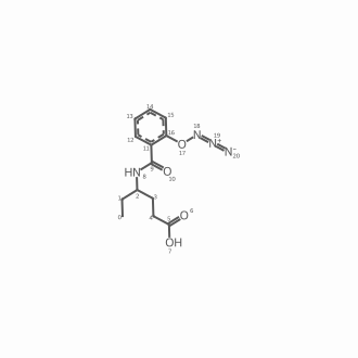 CCC(CCC(=O)O)NC(=O)c1ccccc1ON=[N+]=[N-]